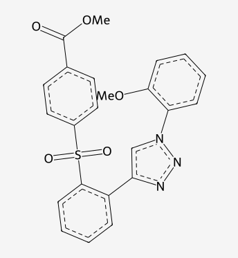 COC(=O)c1ccc(S(=O)(=O)c2ccccc2-c2cn(-c3ccccc3OC)nn2)cc1